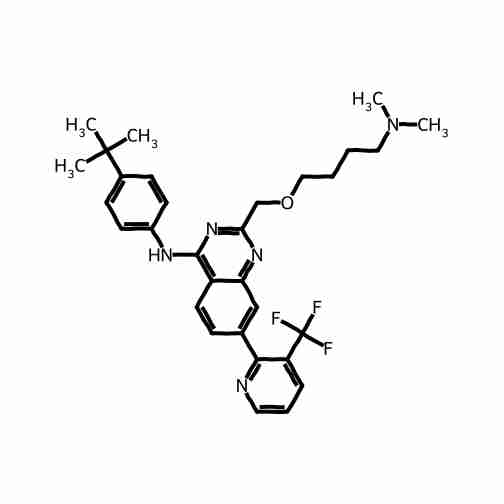 CN(C)CCCCOCc1nc(Nc2ccc(C(C)(C)C)cc2)c2ccc(-c3ncccc3C(F)(F)F)cc2n1